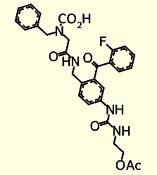 CC(=O)OCCNC(=O)Nc1ccc(CNC(=O)CN(Cc2ccccc2)C(=O)O)c(C(=O)c2ccccc2F)c1